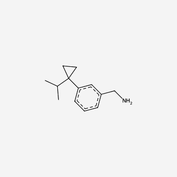 CC(C)C1(c2cccc(CN)c2)CC1